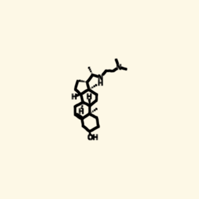 C[C@H](NCCN(C)C)[C@H]1CC[C@H]2[C@@H]3CC=C4C[C@@H](O)CC[C@]4(C)[C@H]3CC[C@]12C